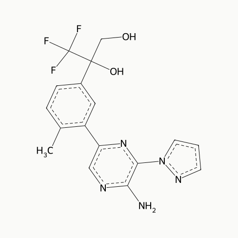 Cc1ccc(C(O)(CO)C(F)(F)F)cc1-c1cnc(N)c(-n2cccn2)n1